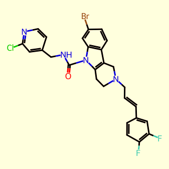 O=C(NCc1ccnc(Cl)c1)n1c2c(c3ccc(Br)cc31)CN(C/C=C/c1ccc(F)c(F)c1)CC2